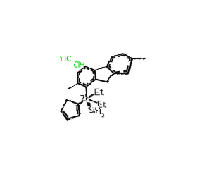 C[CH2][Zr](=[SiH2])([CH2]C)([C]1=CC=CC1)[c]1c(C)ccc2c1Cc1cc(C)ccc1-2.Cl.Cl